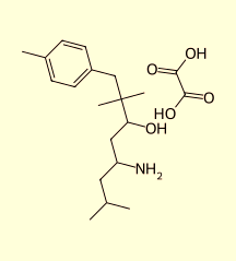 Cc1ccc(CC(C)(C)C(O)CC(N)CC(C)C)cc1.O=C(O)C(=O)O